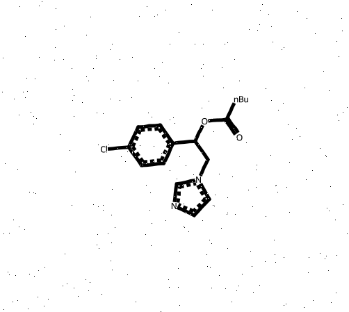 CCCCC(=O)OC(Cn1ccnc1)c1ccc(Cl)cc1